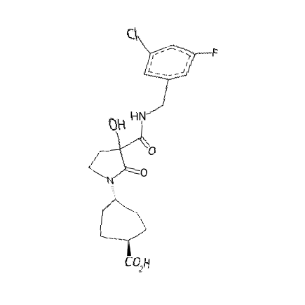 O=C(NCc1cc(F)cc(Cl)c1)C1(O)CCN([C@H]2CC[C@H](C(=O)O)CC2)C1=O